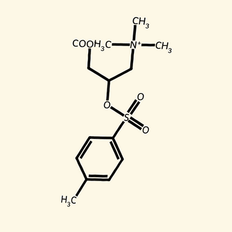 Cc1ccc(S(=O)(=O)OC(CC(=O)[O-])C[N+](C)(C)C)cc1